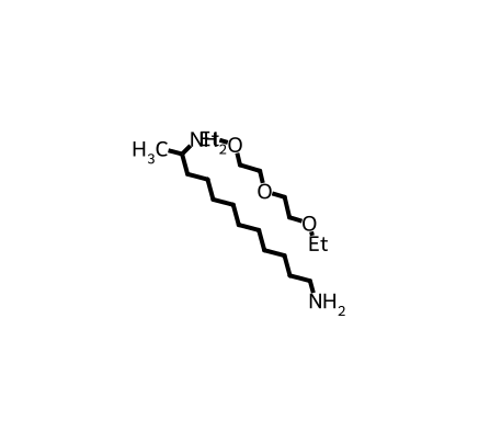 CC(N)CCCCCCCCCCN.CCOCCOCCOCC